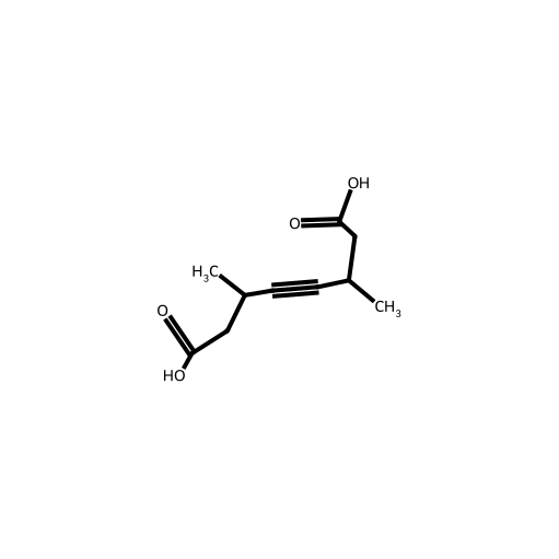 CC(C#CC(C)CC(=O)O)CC(=O)O